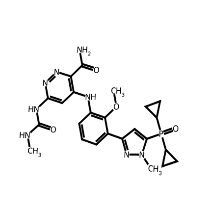 CNC(=O)Nc1cc(Nc2cccc(-c3cc(P(=O)(C4CC4)C4CC4)n(C)n3)c2OC)c(C(N)=O)nn1